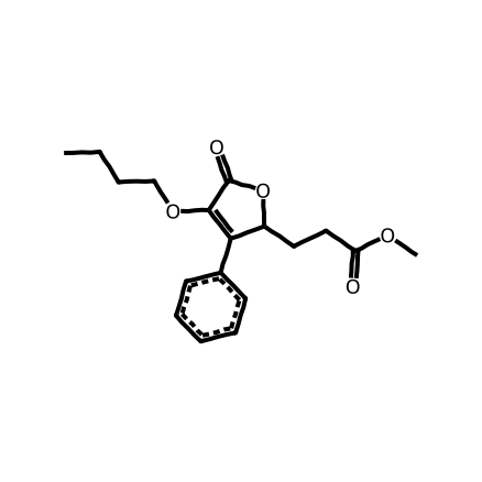 CCCCOC1=C(c2ccccc2)C(CCC(=O)OC)OC1=O